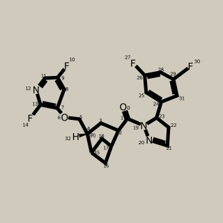 O=C(C1C[C@@H](COc2cc(F)cnc2F)C2CC1C2)N1N=CCC1c1cc(F)cc(F)c1